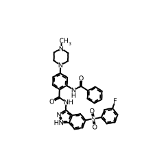 CN1CCN(c2ccc(C(=O)Nc3n[nH]c4ccc(S(=O)(=O)c5cccc(F)c5)cc34)c(NC(=O)c3ccccc3)c2)CC1